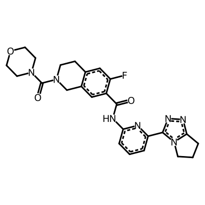 O=C(Nc1cccc(-c2nnc3n2CCC3)n1)c1cc2c(cc1F)CCN(C(=O)N1CCOCC1)C2